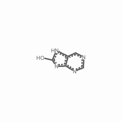 Oc1nc2ncncc2[nH]1